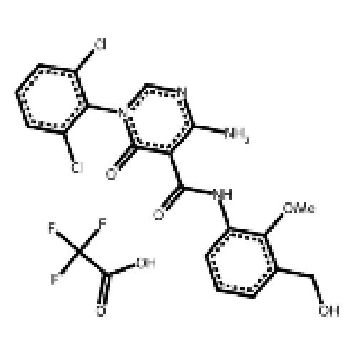 COc1c(CO)cccc1NC(=O)c1c(N)ncn(-c2c(Cl)cccc2Cl)c1=O.O=C(O)C(F)(F)F